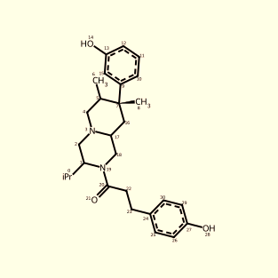 CC(C)C1CN2CC(C)[C@](C)(c3cccc(O)c3)CC2CN1C(=O)CCc1ccc(O)cc1